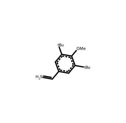 COc1c(C(C)(C)C)cc(C=[SiH2])cc1C(C)(C)C